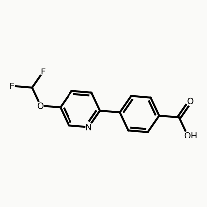 O=C(O)c1ccc(-c2ccc(OC(F)F)cn2)cc1